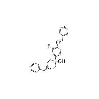 OC1(c2ccc(OCc3ccccc3)c(F)c2)CCN(Cc2ccccc2)CC1